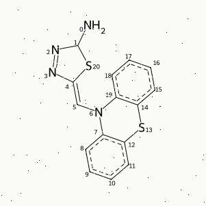 NC1N=NC(=CN2c3ccccc3Sc3ccccc32)S1